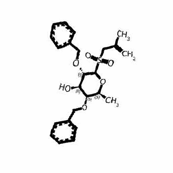 C=C(C)CS(=O)(=O)C1O[C@@H](C)[C@@H](OCc2ccccc2)[C@@H](O)[C@@H]1OCc1ccccc1